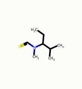 CCC(C(C)C)N(C)C=S